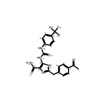 CC(=O)c1ccc(Cc2nc(C(N)=O)c(NC(=O)Nc3ccc(C(F)(F)F)cc3)[nH]2)cc1